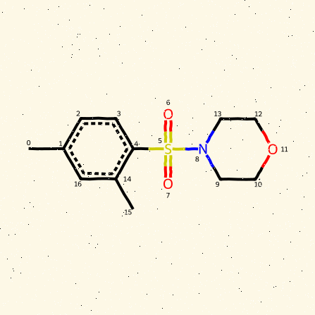 Cc1ccc(S(=O)(=O)N2C[CH]OCC2)c(C)c1